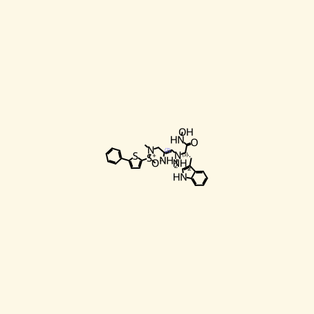 CN(C/C(N)=C/N(N)[C@@H](Cc1c[nH]c2ccccc12)C(=O)NO)[S+]([O-])c1ccc(-c2ccccc2)s1